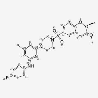 COC(=O)[C@H](C)Oc1ccc(S(=O)(=O)N2CCN(c3nc(C)cc(Nc4ccc(F)cc4)n3)CC2)cc1